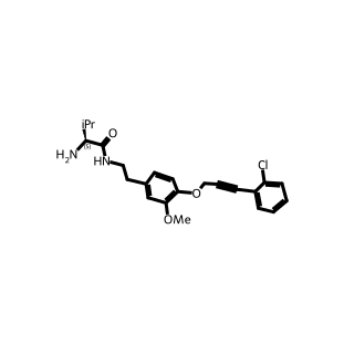 COc1cc(CCNC(=O)[C@@H](N)C(C)C)ccc1OCC#Cc1ccccc1Cl